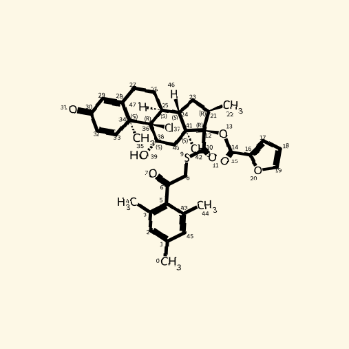 Cc1cc(C)c(C(=O)CSC(=O)[C@@]2(OC(=O)c3ccco3)[C@H](C)C[C@H]3[C@@H]4CCC5=CC(=O)C=C[C@]5(C)[C@@]4(Cl)[C@@H](O)C[C@@]32C)c(C)c1